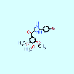 COc1cc(C(=O)C2CNC(c3ccc(Br)cc3)N2)cc(OC)c1OC